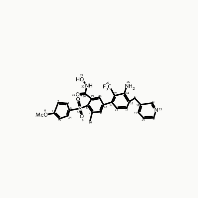 COc1ccc(S(=O)(=O)c2c(C)cc(-c3ccc(Cc4cccnc4)c(N)c3C(F)(F)F)cc2C(=O)NO)cc1